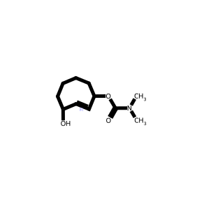 CN(C)C(=O)OC1/C=C/C(O)CCCC1